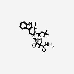 CC(C)(C)CC(=O)N[C@@H](CNC(=O)C(C)(C)C(N)=O)Cc1c[nH]c2ccccc12